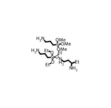 CCO[Si](CCCN)(OCC)OCC.CO[Si](CCCN)(OC)OC.[CH2]CC(N)CCN